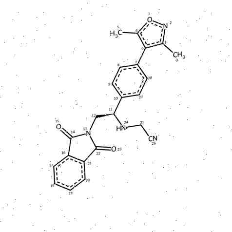 Cc1noc(C)c1-c1ccc([C@H](CN2C(=O)c3ccccc3C2=O)NCC#N)cc1